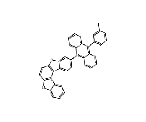 Cc1cccc(-c2c3ccccc3c(-c3ccc4c(c3)oc3ccc5oc6ccccc6c5c34)c3ccccc23)c1